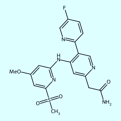 COc1cc(Nc2cc(CC(N)=O)ncc2-c2ccc(F)cn2)nc(S(C)(=O)=O)c1